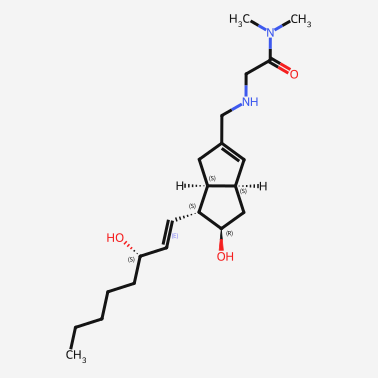 CCCCC[C@H](O)/C=C/[C@@H]1[C@H]2CC(CNCC(=O)N(C)C)=C[C@H]2C[C@H]1O